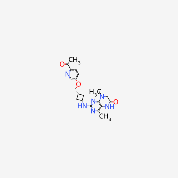 CC(=O)c1ccc(OC[C@H]2C[C@@H](Nc3nc(C)c4c(n3)N(C)CC(=O)N4)C2)cn1